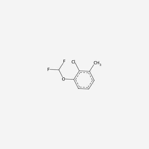 Cc1cccc(OC(F)F)c1Cl